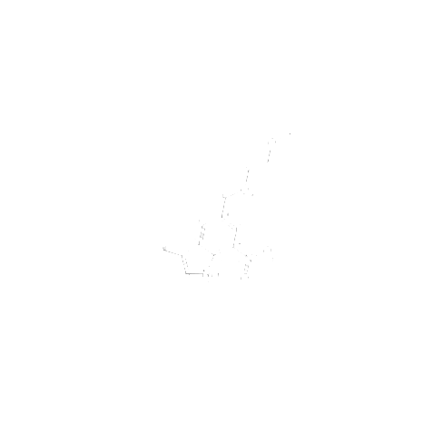 COCCOCc1cc([N+](=O)[O-])c2[nH]cc(C)c2c1